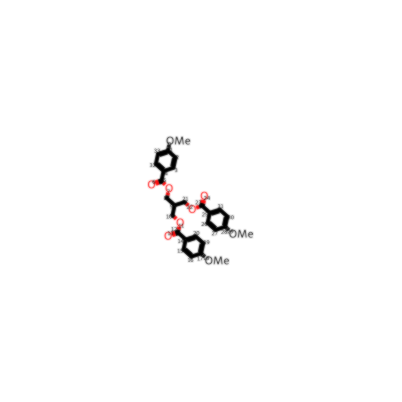 COc1ccc(C(=O)OCC(COC(=O)c2ccc(OC)cc2)COC(=O)c2ccc(OC)cc2)cc1